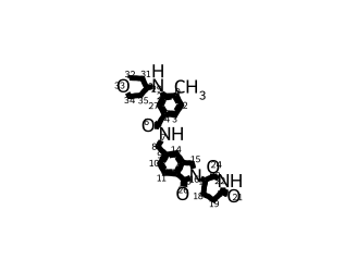 Cc1ccc(C(=O)NCc2ccc3c(c2)CN(C2CCC(=O)NC2=O)C3=O)cc1NC1CCOCC1